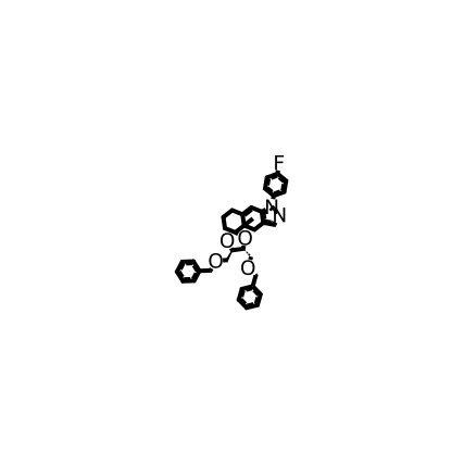 CC12Cc3cnn(-c4ccc(F)cc4)c3C=C1CCCC21O[C@H](COCc2ccccc2)[C@@H](COCc2ccccc2)O1